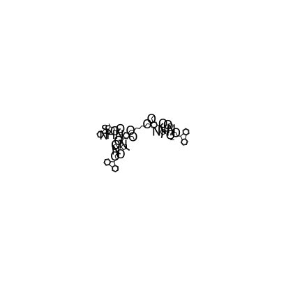 C=C1C[C@@H](C2OCCN2C(=O)OCC2c3ccccc3-c3ccccc32)N(C(=O)c2cc(OC)c(OCCCCCOc3cc(NC(=O)OCC(C)SSc4ccccn4)c(C(=O)N4CC(=C)C[C@H]4C4OCCN4C(=O)OCC4c5ccccc5-c5ccccc54)cc3OC)cc2N)C1